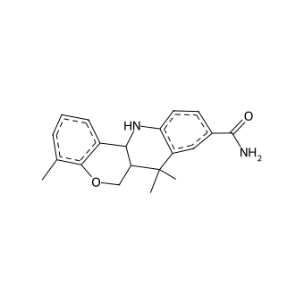 Cc1cccc2c1OCC1C2Nc2ccc(C(N)=O)cc2C1(C)C